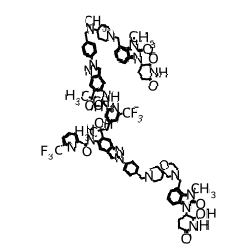 CN(Cc1ccc(-n2cc3cc(NC(=O)c4cc(CC(C)(O)c5cc6nn(-c7ccc(CN8CCC9(CC8)CN(Cc8cccc%10c8n(C)c(=O)n%10C8CCC(=O)NC8O)CCO9)cc7)cc6cc5NC(=O)c5cccc(C(F)(F)F)n5)cc(C(F)(F)F)n4)c(C(C)(C)O)cc3n2)cc1)C1CCN(Cc2cccc3c2n(C)c(=O)n3C2CCC(=O)NC2=O)CC1